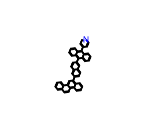 c1ccc2c(c1)ccc1c3ccccc3c(-c3ccc4cc(-c5c6ccccc6c(-c6ccncc6)c6ccccc56)ccc4c3)cc21